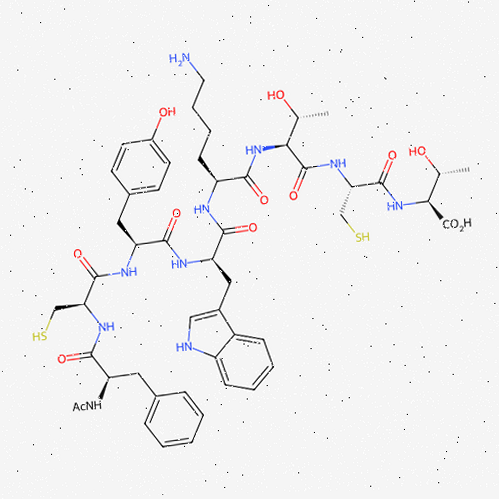 CC(=O)N[C@H](Cc1ccccc1)C(=O)N[C@@H](CS)C(=O)N[C@@H](Cc1ccc(O)cc1)C(=O)N[C@H](Cc1c[nH]c2ccccc12)C(=O)N[C@@H](CCCCN)C(=O)N[C@H](C(=O)N[C@@H](CS)C(=O)N[C@H](C(=O)O)[C@@H](C)O)[C@@H](C)O